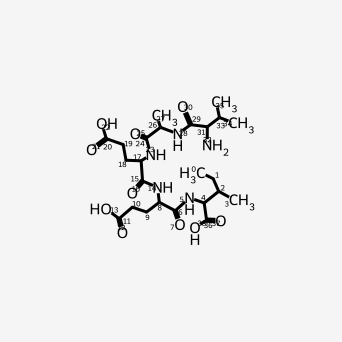 CCC(C)C(NC(=O)C(CCC(=O)O)NC(=O)C(CCC(=O)O)NC(=O)C(C)NC(=O)C(N)C(C)C)C(=O)O